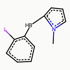 Cn1cccc1Bc1ccccc1I